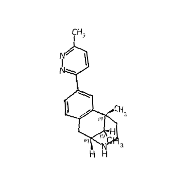 Cc1ccc(-c2ccc3c(c2)[C@]2(C)CCN[C@H](C3)[C@H]2C)nn1